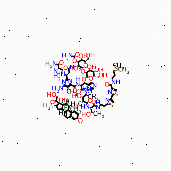 C[C@@H]1C[C@H]2[C@@H]3CCC4=CC(=O)C=C[C@]4(C)[C@@]3(F)[C@@H](O)C[C@]2(C)[C@@]1(O)C(=O)CO.Cc1c(N)nc([C@H](CC(N)=O)NC[C@H](N)C(N)=O)nc1C(=O)N[C@H](C(=O)N[C@H](C)[C@@H](O)[C@H](C)C(=O)N[C@H](C(=O)NCCc1nc(-c2nc(C(=O)NCCC[S+](C)C)cs2)cs1)[C@@H](C)O)[C@@H](O[C@@H]1O[C@@H](CO)[C@@H](O)[C@H](O)[C@@H]1O[C@H]1O[C@H](CO)[C@@H](O)[C@H](OC(N)=O)[C@@H]1O)c1cnc[nH]1